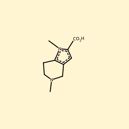 CN1CCc2c(cc(C(=O)O)n2C)C1